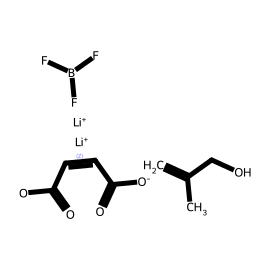 C=C(C)CO.FB(F)F.O=C([O-])/C=C\C(=O)[O-].[Li+].[Li+]